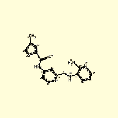 Cc1csc(C(=O)Nc2ccnc(CNc3cccnc3N)c2)c1